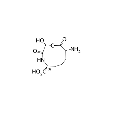 NC1CCC[C@@H](C(=O)O)NC(=O)C(O)CC1=O